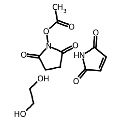 CC(=O)ON1C(=O)CCC1=O.O=C1C=CC(=O)N1.OCCO